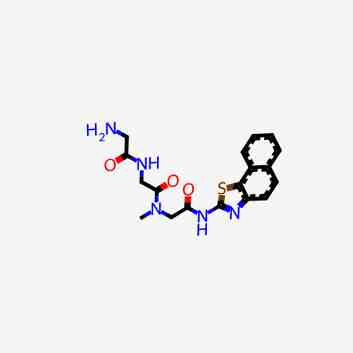 CN(CC(=O)Nc1nc2ccc3ccccc3c2s1)C(=O)CNC(=O)CN